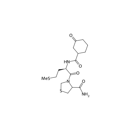 CSCC[C@@H](NC(=O)C1CCCC(=O)C1)C(=O)N1CSCC1C(N)=O